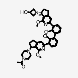 COc1nc(-c2cccc(-c3cccc(-c4cc5c(c(OC)n4)[C@H](N4CC(O)C4)CC5)c3Cl)c2Cl)cc2c1C(N1CCN(C(C)=O)CC1)CC2